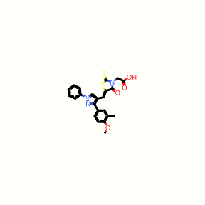 COc1ccc(-c2nn(-c3ccccc3)cc2C=C2SC(=S)N(CC(=O)O)C2=O)cc1C